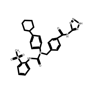 CS(=O)(=O)c1ccccc1NC(=O)N(Cc1ccc(C(=O)Nc2nn[nH]n2)cc1)c1ccc(C2CCCCC2)cc1